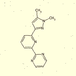 Cc1cc(-c2cccc(-c3ncccn3)n2)nn1C